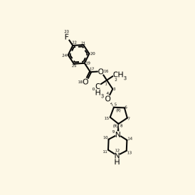 CC(C)(CO[C@@H]1CC[C@@H](N2CCNCC2)C1)OC(=O)c1ccc(F)cc1